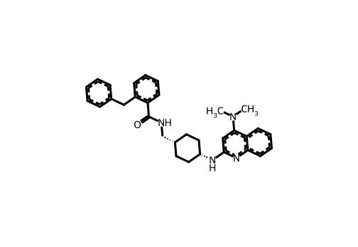 CN(C)c1cc(N[C@H]2CC[C@@H](CNC(=O)c3ccccc3Cc3ccccc3)CC2)nc2ccccc12